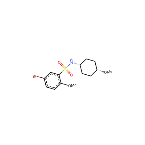 COc1ccc(Br)cc1S(=O)(=O)N[C@H]1CC[C@@H](OC)CC1